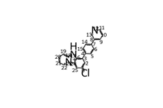 Clc1cc(-c2ccc(-c3cccnc3)cc2)c2[nH]c3cccc[n+]3c2c1